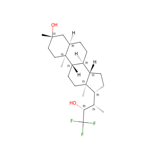 C[C@H]([C@@H](O)C(F)(F)F)[C@H]1CC[C@H]2[C@@H]3CC[C@@H]4C[C@@](C)(O)CC[C@]4(C)[C@H]3CC[C@]12C